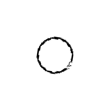 [C]1=C/C=C\C=C/C=C\C=C/C=C\C=C/C=C\C=C/C=C\C=C/C=C\C=C/C=CCC\1